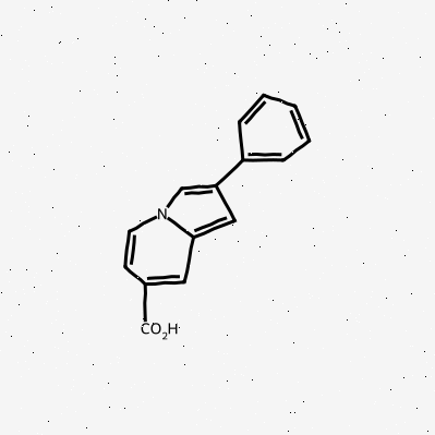 O=C(O)c1ccn2cc(-c3ccccc3)cc2c1